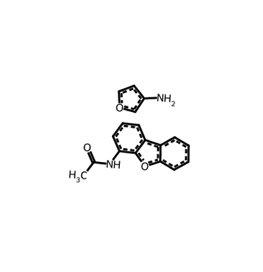 CC(=O)Nc1cccc2c1oc1ccccc12.Nc1ccoc1